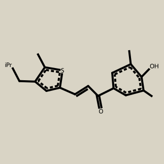 Cc1cc(C(=O)C=Cc2cc(CC(C)C)c(C)s2)cc(C)c1O